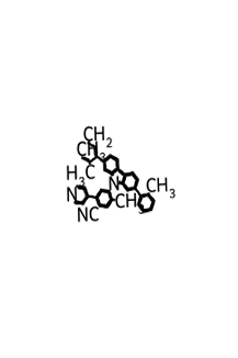 C=C/C=C(\C(C)=C/C)c1ccc2c3ccc(-c4ccccc4C)cc3n(-c3cc(-c4ccncc4)c(C#N)cc3C)c2c1